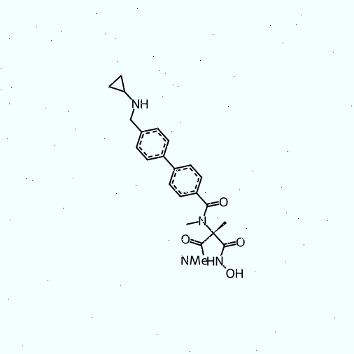 CNC(=O)[C@@](C)(C(=O)NO)N(C)C(=O)c1ccc(-c2ccc(CNC3CC3)cc2)cc1